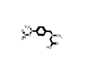 CN(CC(=O)O)Cc1ccc(N(C)O[SH](=O)=O)cc1